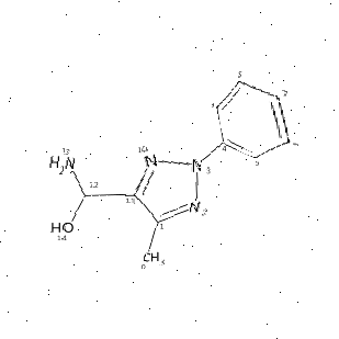 Cc1nn(-c2ccccc2)nc1C(N)O